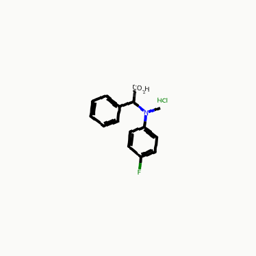 CN(c1ccc(F)cc1)C(C(=O)O)c1ccccc1.Cl